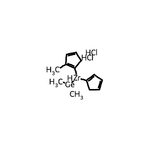 CC1=[C]([Zr]([C]2=CC=CC2)[GeH]([CH3])[CH3])CC=C1.Cl.Cl